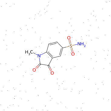 CN1C(=O)C(=O)c2cc(S(N)(=O)=O)ccc21